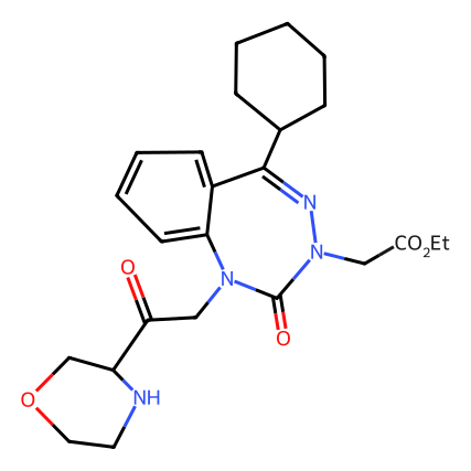 CCOC(=O)CN1N=C(C2CCCCC2)c2ccccc2N(CC(=O)C2COCCN2)C1=O